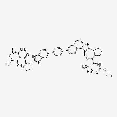 COC(=O)N[C@H](C(=O)N1CCCC1c1nc2ccc3cc(-c4ccc(-c5ccc6[nH]c([C@@H]7CCCN7C(=O)[C@H](C(C)C)N(C)C(=O)O)nc6c5)cc4)ccc3c2[nH]1)C(C)C